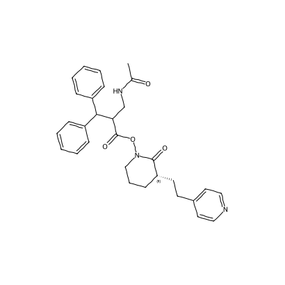 CC(=O)NCC(C(=O)ON1CCC[C@@H](CCc2ccncc2)C1=O)C(c1ccccc1)c1ccccc1